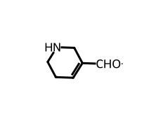 O=[C]C1=CCCNC1